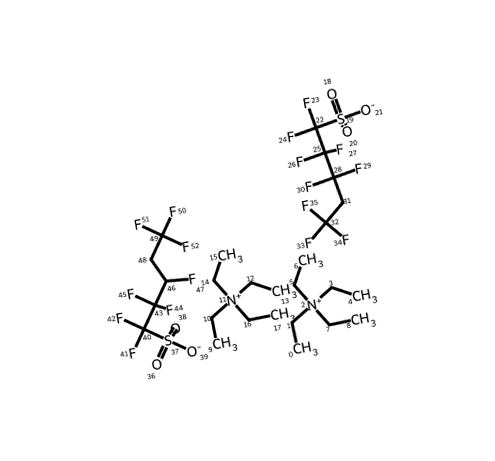 CC[N+](CC)(CC)CC.CC[N+](CC)(CC)CC.O=S(=O)([O-])C(F)(F)C(F)(F)C(F)(F)CC(F)(F)F.O=S(=O)([O-])C(F)(F)C(F)(F)C(F)CC(F)(F)F